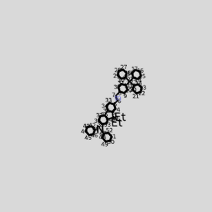 CCC1(CC)c2cc(/C=C/c3ccc(C(c4ccccc4)(c4ccccc4)c4ccccc4)cc3)ccc2-c2ccc(N(c3ccccc3)c3ccccc3)cc21